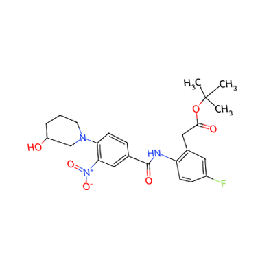 CC(C)(C)OC(=O)Cc1cc(F)ccc1NC(=O)c1ccc(N2CCCC(O)C2)c([N+](=O)[O-])c1